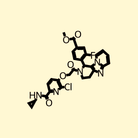 COC(=O)c1ccc(C2c3c(nc4ccccn34)CCN2C(=O)COc2ccc(C(=O)NC3CC3)nc2Cl)c(F)c1